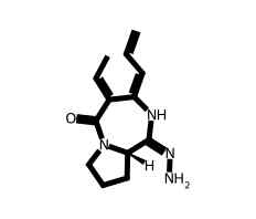 C=C/C=C1/N/C(=N/N)[C@@H]2CCCN2C(=O)/C1=C/C